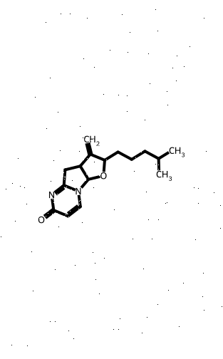 C=C1C(CCCC(C)C)OC2C1Cc1nc(=O)ccn12